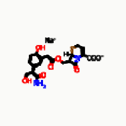 NC(=O)C(CO)c1ccc(O)c(CC(=O)OCC2C(=O)N3C(C(=O)[O-])=CCS[C@@H]23)c1.[Na+]